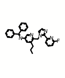 CCCc1cc(N=C(c2ccccc2)c2ccccc2)cnc1Cn1ccnc1-c1cccc(F)n1